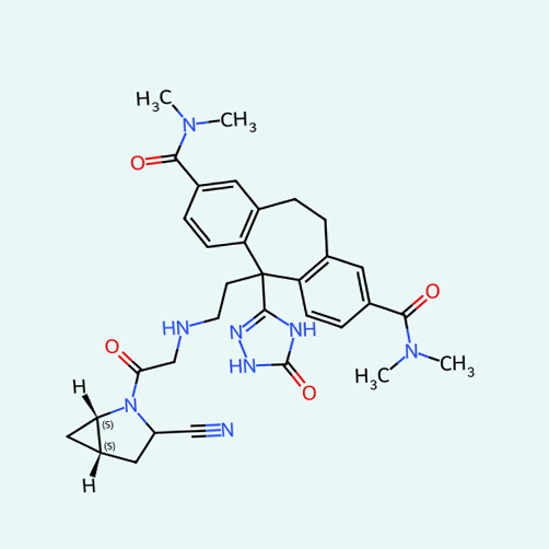 CN(C)C(=O)c1ccc2c(c1)CCc1cc(C(=O)N(C)C)ccc1C2(CCNCC(=O)N1C(C#N)C[C@@H]2C[C@@H]21)c1n[nH]c(=O)[nH]1